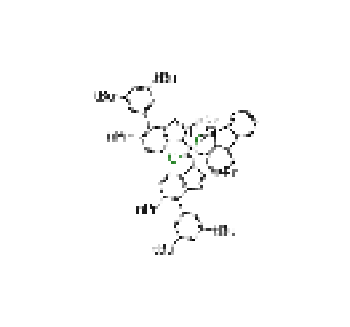 CCCC1=Cc2c(ccc(CCC)c2-c2cc(C(C)(C)C)cc(C(C)(C)C)c2)[CH]1[Zr]([Cl])([Cl])([c]1cccc2c1[SiH2]c1ccccc1-2)[CH]1C(CCC)=Cc2c1ccc(CCC)c2-c1cc(C(C)(C)C)cc(C(C)(C)C)c1